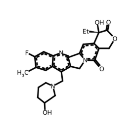 CC[C@@]1(O)C(=O)OCc2c1cc1n(c2=O)Cc2c-1nc1cc(F)c(C)cc1c2CN1CCCC(O)C1